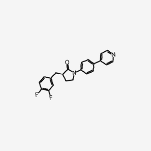 O=C1[C@H](Cc2ccc(F)c(F)c2)CCN1c1ccc(-c2ccncc2)cc1